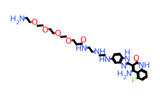 NCCOCCOCCOCCOCCC(=O)NCCNCCNc1ccc2[nH]c(-c3c(N)c4c(F)cccc4[nH]c3=O)nc2c1